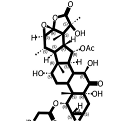 CC(=O)O[C@H]1[C@@H]2[C@H]([C@H](C)[C@H]3O[C@]34OC(=O)[C@@](C)(O)[C@]24C)[C@]2(C)[C@@H]1C1C(C[C@@H]2O)[C@@]2(C)[C@@H](OC(=O)CC(C)C)[C@H]3O[C@H]3C[C@]2(O)C(=O)[C@@H]1O